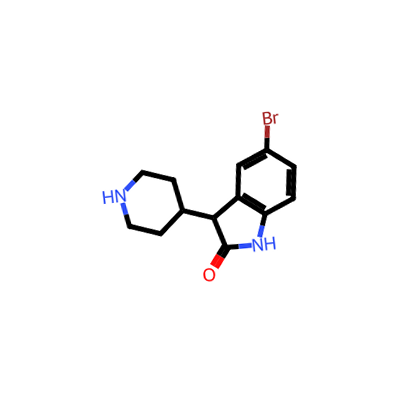 O=C1Nc2ccc(Br)cc2C1C1CCNCC1